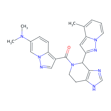 Cc1cccn2nc(C3c4nc[nH]c4CCN3C(=O)c3cnn4cc(N(C)C)ccc34)cc12